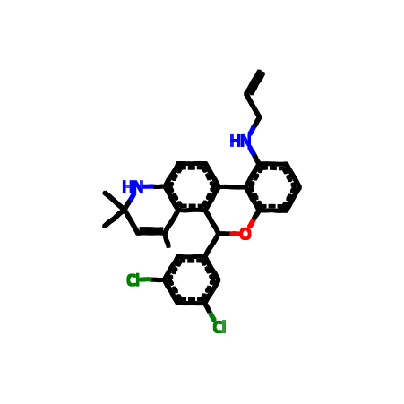 C=CCNc1cccc2c1-c1ccc3c(c1C(c1cc(Cl)cc(Cl)c1)O2)C(C)=CC(C)(C)N3